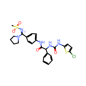 CS(=O)(=O)/N=C(/c1ccc(NC(=O)C(NC(=O)Nc2ccc(Cl)s2)c2ccccc2)cc1)N1CCCC1